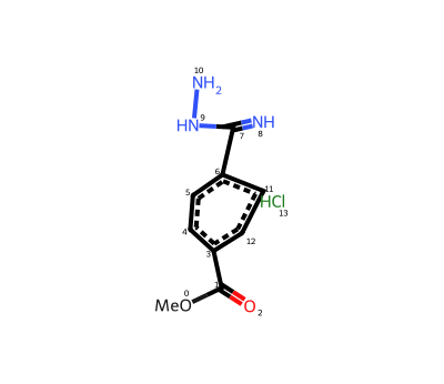 COC(=O)c1ccc(C(=N)NN)cc1.Cl